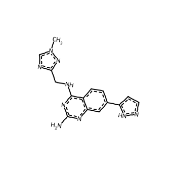 Cn1cnc(CNc2nc(N)nc3cc(-c4ccn[nH]4)ccc23)n1